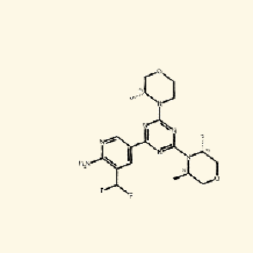 C[C@@H]1COCCN1c1nc(-c2cnc(N)c(C(F)F)c2)nc(N2[C@H](C)COC[C@H]2C)n1